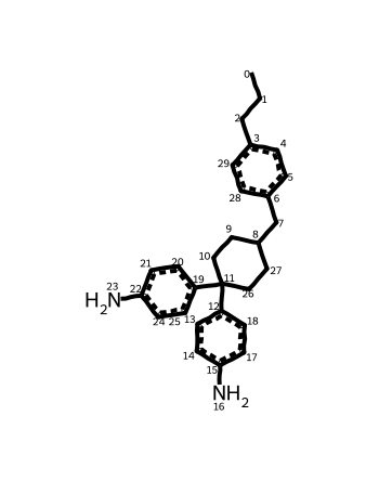 CCCc1ccc(CC2CCC(c3ccc(N)cc3)(c3ccc(N)cc3)CC2)cc1